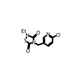 CCn1sc(=O)n(Cc2ccc(Cl)nc2)c1=O